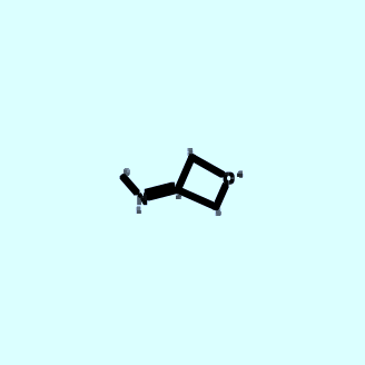 CN=C1COC1